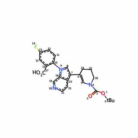 CC(C)(C)OC(=O)N1C=C(c2cn(-c3ccc(F)cc3C(=O)O)c3cnccc23)CCC1